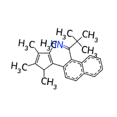 CC1=C(C)C(C)C(c2ccc3ccccc3c2C(=N)C(C)(C)C)=C1C